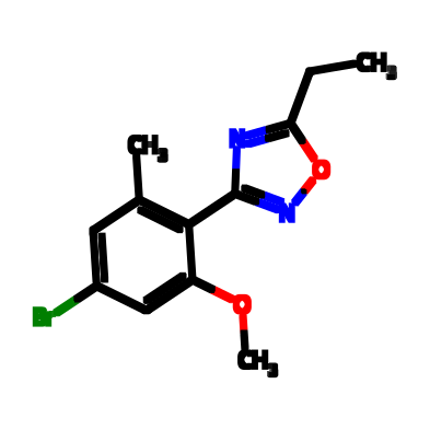 CCc1nc(-c2c(C)cc(Br)cc2OC)no1